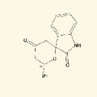 CC(C)[C@@H]1CC(=O)CC2(O1)C(=O)Nc1ccccc12